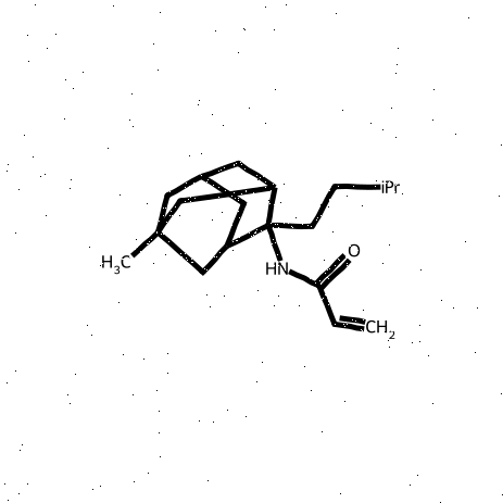 C=CC(=O)NC1(CCC(C)C)C2CC3CC1CC(C)(C3)C2